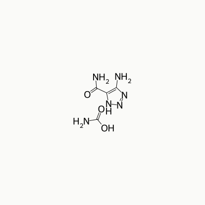 NC(=O)O.NC(=O)c1[nH]nnc1N